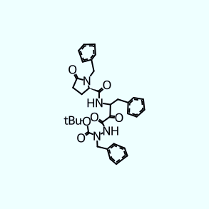 CC(C)(C)OC(=O)N(Cc1ccccc1)NC(=O)C(=O)C(Cc1ccccc1)NC(=O)[C@H]1CCC(=O)N1Cc1ccccc1